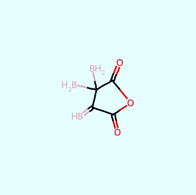 B=C1C(=O)OC(=O)C1(B)B